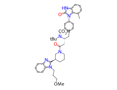 COCCCn1c([C@@H]2CCCN(C(=O)C[C@@H](Cc3ccc(-n4c(=O)[nH]c5cccc(C)c54)cc3)N(C(=O)O)C(C)(C)C)C2)nc2ccccc21